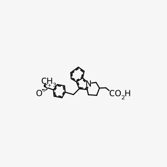 C[S+]([O-])c1ccc(Cc2c3n(c4ccccc24)CC(CC(=O)O)CC3)cc1